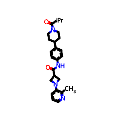 Cc1ncccc1N1CC(C(=O)Nc2ccc(C3CCN(C(=O)C(C)C)CC3)cc2)C1